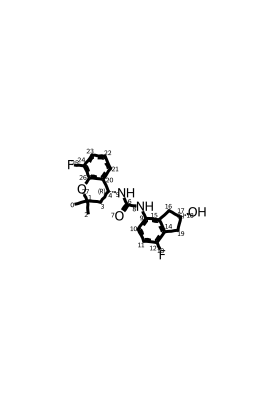 CC1(C)C[C@@H](NC(=O)Nc2ccc(F)c3c2C[C@H](O)C3)c2cccc(F)c2O1